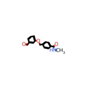 CNC(=O)c1ccc(COc2cccc(C=O)c2)cc1